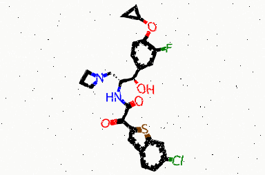 O=C(N[C@H](CN1CCC1)[C@H](O)c1ccc(OC2CC2)c(F)c1)C(=O)c1cc2ccc(Cl)cc2s1